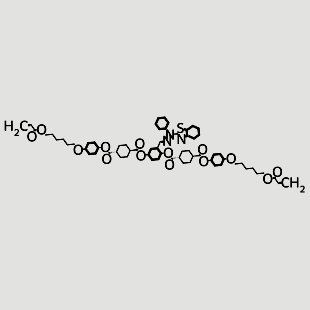 C=CC(=O)OCCCCCCOc1ccc(OC(=O)[C@H]2CC[C@H](C(=O)Oc3ccc(OC(=O)[C@H]4CC[C@H](C(=O)Oc5ccc(OCCCCCCOC(=O)C=C)cc5)CC4)c(/C=N/N(c4ccccc4)c4nc5ccccc5s4)c3)CC2)cc1